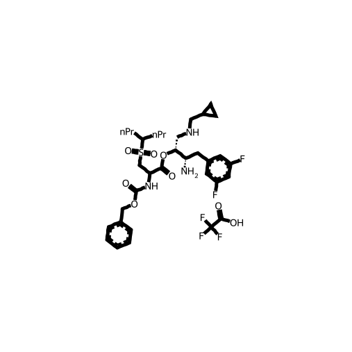 CCCC(CCC)S(=O)(=O)CC(NC(=O)OCc1ccccc1)C(=O)O[C@H](CNCC1CC1)[C@@H](N)Cc1cc(F)cc(F)c1.O=C(O)C(F)(F)F